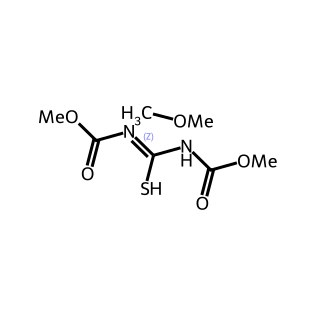 COC.COC(=O)/N=C(\S)NC(=O)OC